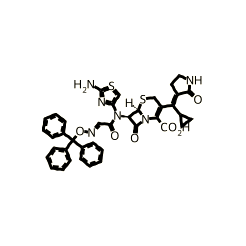 Nc1nc(N(C(=O)C=NOC(c2ccccc2)(c2ccccc2)c2ccccc2)[C@@H]2C(=O)N3C(C(=O)O)=C(C(=C4CCNC4=O)C4CC4)CS[C@H]23)cs1